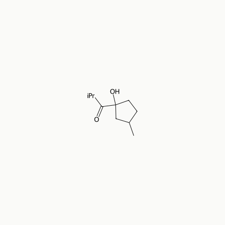 CC1CCC(O)(C(=O)C(C)C)C1